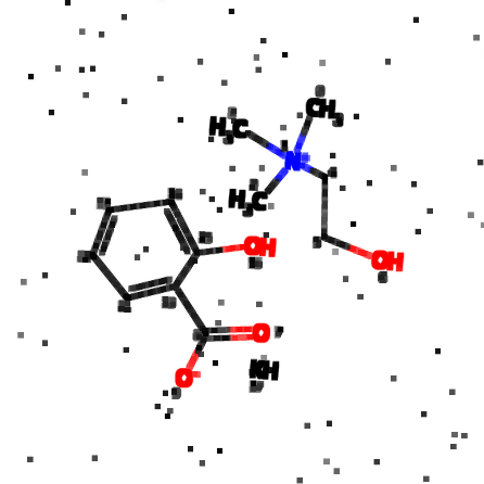 C[N+](C)(C)CCO.O=C([O-])c1ccccc1O.[KH]